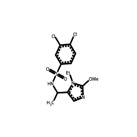 CCn1c(C(C)NS(=O)(=O)c2ccc(Cl)c(Cl)c2)cnc1OC